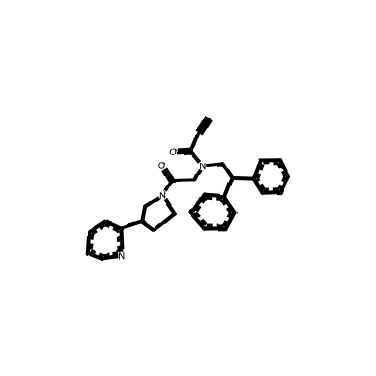 C#CC(=O)N(CC(=O)N1CCC(c2ccccn2)C1)CC(c1ccccc1)c1ccccc1